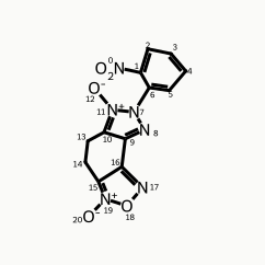 O=[N+]([O-])c1ccccc1-n1nc2c([n+]1[O-])CCc1c-2no[n+]1[O-]